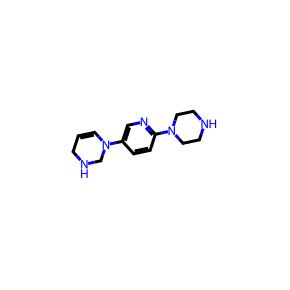 C1=CN(c2ccc(N3CCNCC3)nc2)CNC1